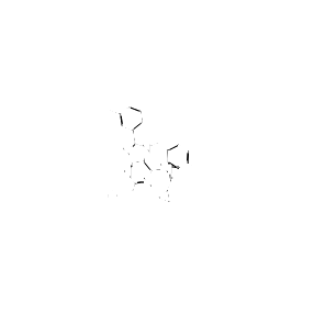 Cc1cccc(-c2nc3nc(C(=O)O)nc(N[C@H](C)C4CC4)c3n2Cc2ccc(C(F)(F)F)cc2)c1